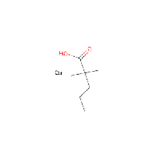 CCCC(C)(C)C(=O)O.[Cu]